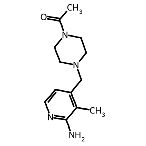 CC(=O)N1CCN(Cc2ccnc(N)c2C)CC1